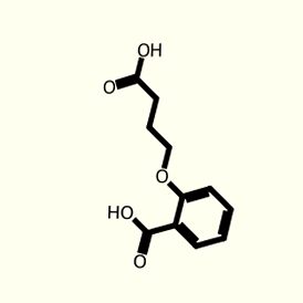 O=C(O)CCCOc1ccccc1C(=O)O